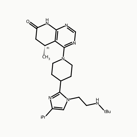 CC(C)c1cn(CCNC(C)(C)C)c(C2CCN(c3ncnc4c3[C@H](C)CC(=O)N4)CC2)n1